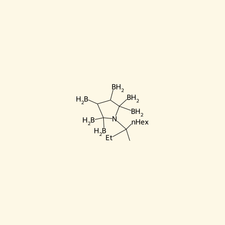 BC1C(B)C(B)(B)N(C(C)(CC)CCCCCC)C1(B)B